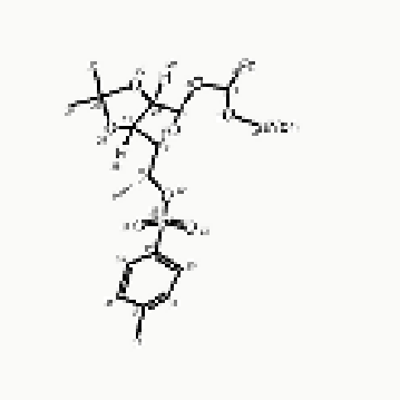 CCCCCCCCCOC(CC)O[C@H]1O[C@H]([C@@H](C)OS(=O)(=O)c2ccc(C)cc2)[C@@H]2OC(C)(C)O[C@H]12